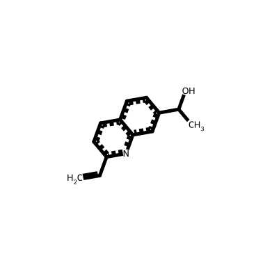 C=Cc1ccc2ccc(C(C)O)cc2n1